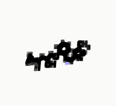 Cc1cc(/C=C\c2ccccc2OCC(O)CNC2CC2)no1